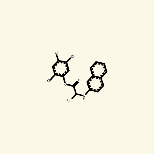 CC(Nc1ccc2ccccc2c1)C(=O)Oc1cc(Cl)c(Cl)cc1Cl